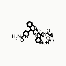 CNC(=O)OC1(C(=O)N2CC3(C2)C(=O)N(Cc2ncc4ccccc4c2-c2ccc(C(N)=O)nc2)c2ccccc23)CC1